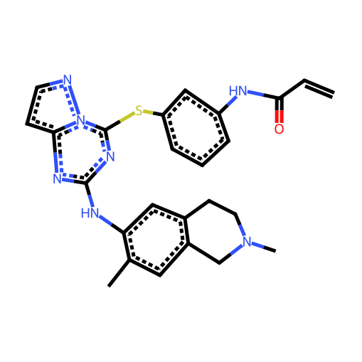 C=CC(=O)Nc1cccc(Sc2nc(Nc3cc4c(cc3C)CN(C)CC4)nc3ccnn23)c1